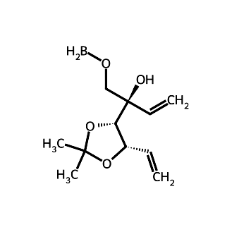 BOC[C@](O)(C=C)[C@H]1OC(C)(C)O[C@H]1C=C